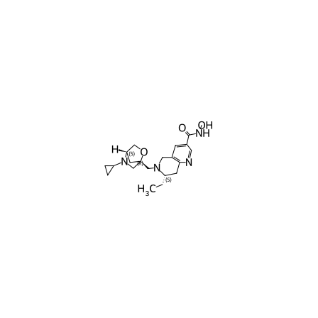 CC[C@H]1Cc2ncc(C(=O)NO)cc2CN1C[C@@]12C[C@@H](CO1)N(C1CC1)C2